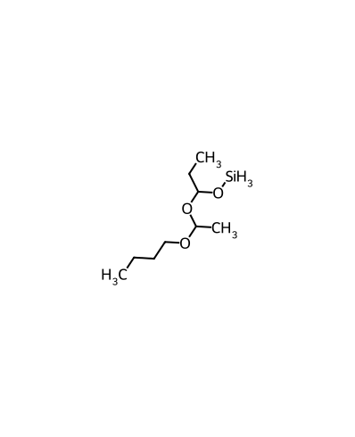 CCCCOC(C)OC(CC)O[SiH3]